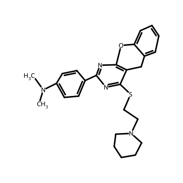 CN(C)c1ccc(-c2nc3c(c(SCCN4CCCCC4)n2)Cc2ccccc2O3)cc1